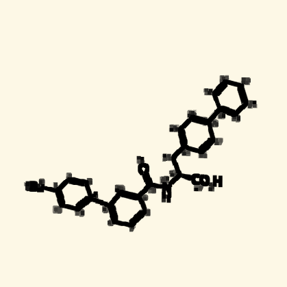 CC(C)(C)c1ccc(-c2cccc(C(=O)N[C@@H](Cc3ccc(-c4ccccc4)cc3)C(=O)O)c2)cc1